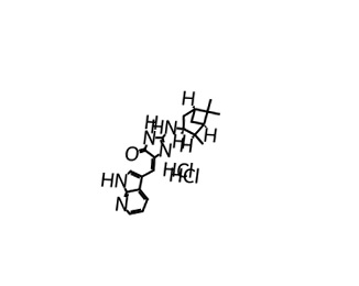 C[C@H]1[C@H]2C[C@H](C[C@H]1NC1=NC(=Cc3c[nH]c4ncccc34)C(=O)N1)C2(C)C.Cl.Cl